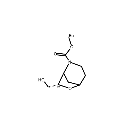 CC(C)(C)OC(=O)N1CCC2CC1[C@@H](CO)O2